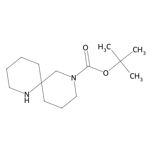 CC(C)(C)OC(=O)N1CCCC2(CCCCN2)C1